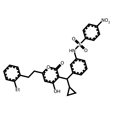 CCc1ccccc1CCc1cc(O)c(C(c2cccc(NS(=O)(=O)c3ccc([N+](=O)[O-])cc3)c2)C2CC2)c(=O)o1